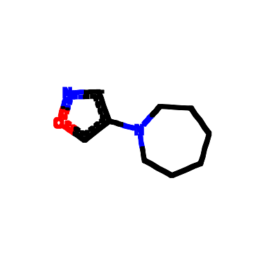 [c]1nocc1N1CCCCCC1